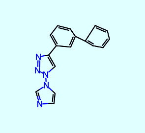 c1ccc(-c2cccc(-c3cn(-n4ccnc4)nn3)c2)cc1